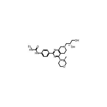 CCNC(=O)Nc1ccc(-c2nc3c(c(N4CCOC[C@@H]4C)n2)CCN(C[C@@H](O)CO)C3)cc1